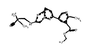 CCOC(=O)c1cc(-c2ccc3nc(NCC(C)(C)C#N)cn3n2)cnc1C